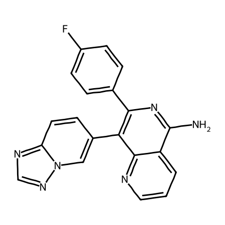 Nc1nc(-c2ccc(F)cc2)c(-c2ccc3ncnn3c2)c2ncccc12